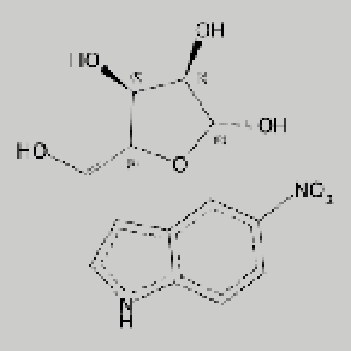 O=[N+]([O-])c1ccc2[nH]ccc2c1.OC[C@H]1O[C@@H](O)[C@H](O)[C@@H]1O